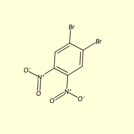 O=[N+]([O-])c1cc(Br)c(Br)cc1[N+](=O)[O-]